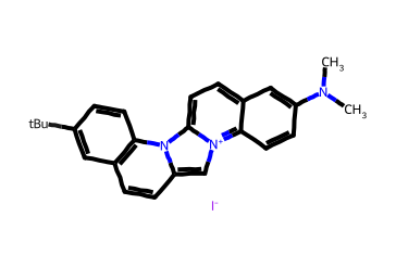 CN(C)c1ccc2c(ccc3n4c(ccc5cc(C(C)(C)C)ccc54)c[n+]23)c1.[I-]